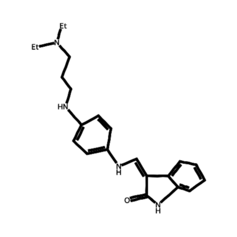 CCN(CC)CCCNc1ccc(NC=C2C(=O)Nc3ccccc32)cc1